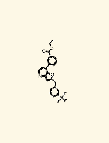 CCOC(=O)c1cccc(-c2ccnc3cc(Cc4cccc(C(F)(F)F)c4)oc23)c1